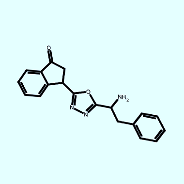 NC(Cc1ccccc1)c1nnc(C2CC(=O)c3ccccc32)o1